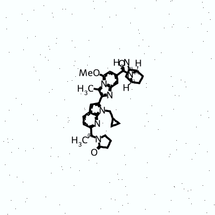 COc1cc(C(=O)N2[C@H]3CC[C@@H]2[C@H](N)C3)cc2nc(-c3cc4ccc([C@@H](C)N5CCCC5=O)nc4n3CC3CC3)c(C)n12